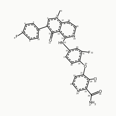 Cn1cc(-c2ccc(F)cc2)c(=O)c2c(Nc3ccc(Oc4ccnc(C(N)=O)c4Cl)c(F)c3)nccc21